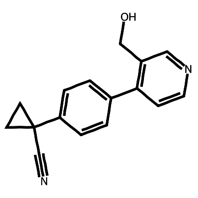 N#CC1(c2ccc(-c3ccncc3CO)cc2)CC1